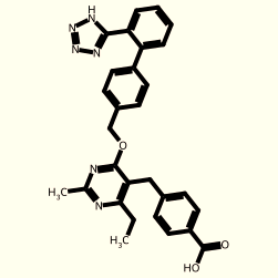 CCc1nc(C)nc(OCc2ccc(-c3ccccc3-c3nnn[nH]3)cc2)c1Cc1ccc(C(=O)O)cc1